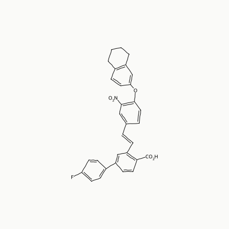 O=C(O)c1ccc(-c2ccc(F)cc2)cc1/C=C/c1ccc(Oc2ccc3c(c2)CCCC3)c([N+](=O)[O-])c1